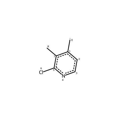 [CH2]c1ccnc(Cl)c1C